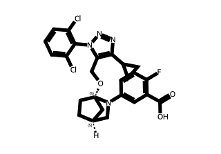 O=C(O)c1cc(N2C[C@H]3CC[C@]2(OCc2c(C4CC4)nnn2-c2c(Cl)cccc2Cl)C3)ccc1F